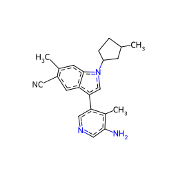 Cc1cc2c(cc1C#N)c(-c1cncc(N)c1C)cn2C1CCC(C)C1